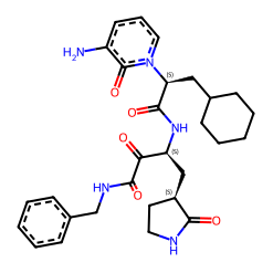 Nc1cccn([C@@H](CC2CCCCC2)C(=O)N[C@@H](C[C@@H]2CCNC2=O)C(=O)C(=O)NCc2ccccc2)c1=O